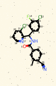 Cc1cc(C(=O)NC(c2ccc(Cl)c(F)c2)c2ncccc2Cl)ccc1C#N